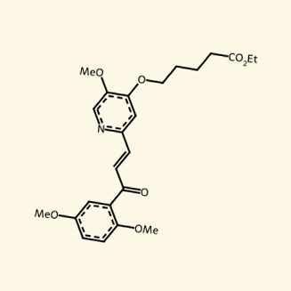 CCOC(=O)CCCCOc1cc(/C=C/C(=O)c2cc(OC)ccc2OC)ncc1OC